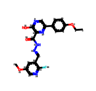 CCOc1ccc(-c2cnc(O)c(C(=O)N/N=C/c3cc(OC)cnc3F)n2)cc1